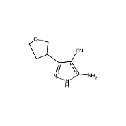 N#Cc1c(C2CCOC2)n[nH]c1N